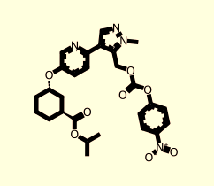 CC(C)OC(=O)[C@H]1CCC[C@H](Oc2ccc(-c3cnn(C)c3COC(=O)Oc3ccc([N+](=O)[O-])cc3)nc2)C1